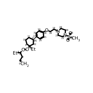 C=CCC(CC)OO[C@]1(CC)CCC[C@@H](c2ccc(OCCN3CCN(S(C)(=O)=O)CC3)cc2)C1